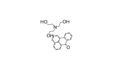 O=C1c2ccccc2-c2cccc3cccc1c23.OCCN(CCO)CCO